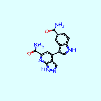 NC(=O)c1ccc2[nH]cc(-c3cc(C(N)=O)nc4[nH]ncc34)c2c1